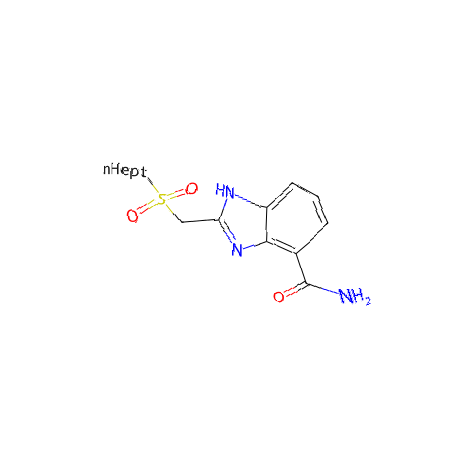 CCCCCCCS(=O)(=O)Cc1nc2c(C(N)=O)cccc2[nH]1